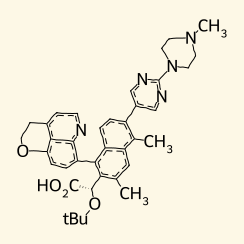 Cc1cc2c(C)c(-c3cnc(N4CCN(C)CC4)nc3)ccc2c(-c2ccc3c4c(ccnc24)CCO3)c1[C@H](OC(C)(C)C)C(=O)O